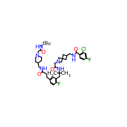 CC(C)(C)NC(=O)CN1CCC(CNC(=O)CCc2ccc(F)c(CC(C)(C)NC(=O)CN3CC4(CC(CNC(=O)c5ccc(F)cc5Cl)C4)C3)c2)CC1